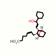 O=C(O)CCC/C=C\C[C@H]1[C@@H](/C=C/C(O)C2CCCCC2)[C@H]2CC[C@@H]1O2